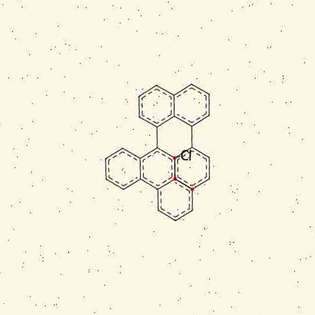 Clc1c(-c2cccc3cccc(-c4ccccc4)c23)c2ccccc2c2ccccc12